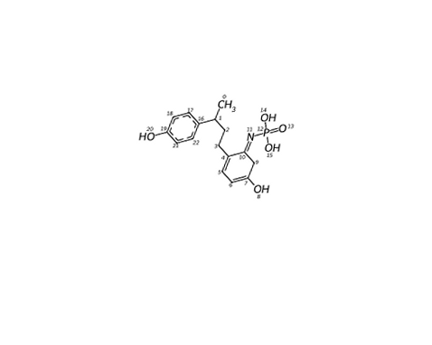 CC(CCC1=CC=C(O)CC1=NP(=O)(O)O)c1ccc(O)cc1